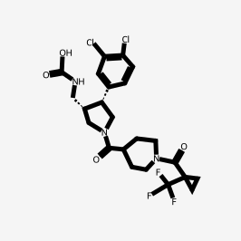 O=C(O)NC[C@H]1CN(C(=O)C2CCN(C(=O)C3(C(F)(F)F)CC3)CC2)C[C@H]1c1ccc(Cl)c(Cl)c1